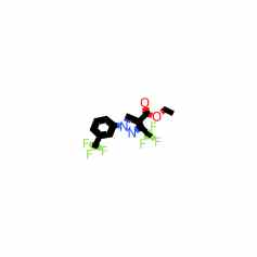 CCOC(=O)c1cn(-c2cccc(C(F)(F)F)c2)nc1C(F)(F)F